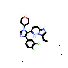 C=Cc1cnc(/C=C\C(=N)c2c(-c3ccc(F)c(Cl)c3)ncn2C2CCOCC2)[nH]1